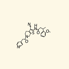 COc1ccccc1C(C)CC(=O)Nc1sc2c(c1C#N)CCN(C(=O)Cc1ccncc1)C2